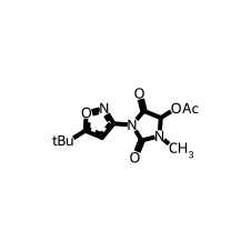 CC(=O)OC1C(=O)N(c2cc(C(C)(C)C)on2)C(=O)N1C